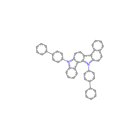 c1ccc(-c2ccc(-n3c4ccccc4c4c3ccc3c5c6ccccc6ccc5n(-c5ccc(-c6ccccc6)cc5)c34)cc2)cc1